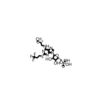 COCCNc1nc(SCCC(F)(F)F)nc2c1ncn2[C@@H]1O[C@H](COP(=O)(O)O)[C@@H](O)[C@H]1O